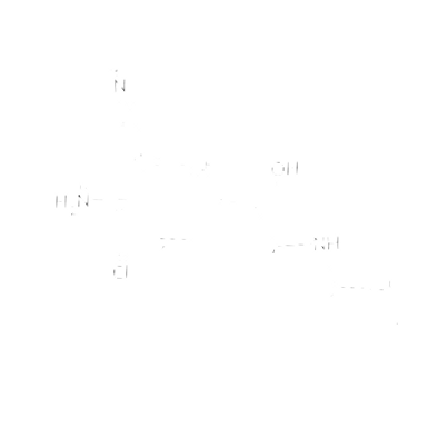 CCCNCC(O)c1cc(Cl)c(N)c(C#N)c1